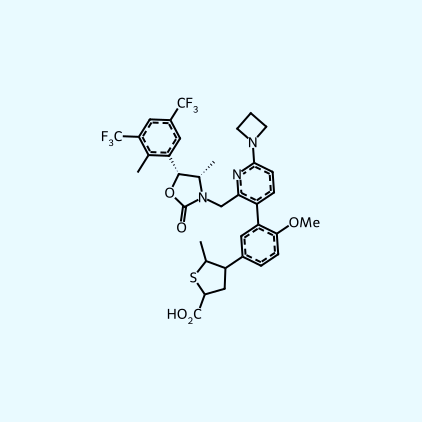 COc1ccc(C2CC(C(=O)O)SC2C)cc1-c1ccc(N2CCC2)nc1CN1C(=O)O[C@H](c2cc(C(F)(F)F)cc(C(F)(F)F)c2C)[C@@H]1C